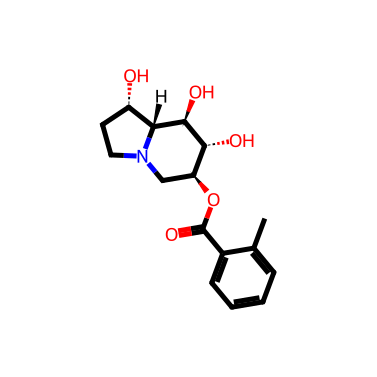 Cc1ccccc1C(=O)O[C@H]1CN2CC[C@H](O)[C@@H]2[C@@H](O)[C@@H]1O